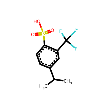 CC(C)c1ccc(S(=O)(=O)O)c(C(F)(F)F)c1